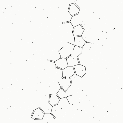 CCN1C(=O)C(C2=C(C=CC3=[N+](C)c4ccc(C(=O)c5ccccc5)cc4C3(C)C)CCCC2=CC=C2N(C)c3ccc(C(=O)c4ccccc4)cc3C2(C)C)C(O)=NC1=S